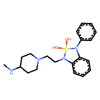 CNC1CCN(CCN2c3ccccc3N(c3ccccc3)S2(O)O)CC1